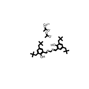 CC(=O)[O-].CC(=O)[O-].CC(C)(C)Cc1cc(C=NCN=Cc2cc(CC(C)(C)C)cc(CC(C)(C)C)c2O)c(O)c(CC(C)(C)C)c1.[Co+2]